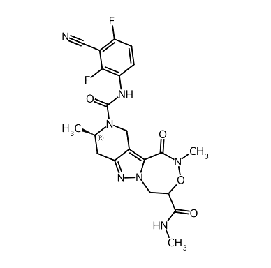 CNC(=O)C1Cn2nc3c(c2C(=O)N(C)O1)CN(C(=O)Nc1ccc(F)c(C#N)c1F)[C@H](C)C3